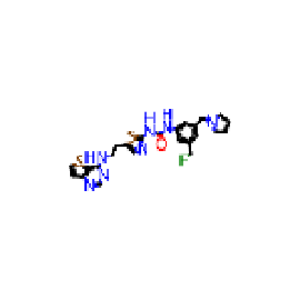 O=C(Nc1cc(CF)cc(CN2CCCC2)c1)Nc1ncc(CCNc2ncnc3ccsc23)s1